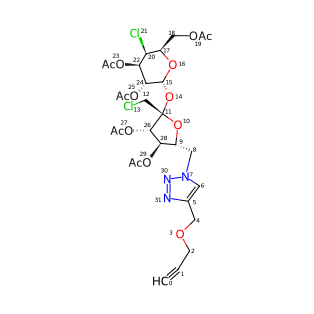 C#CCOCc1cn(C[C@H]2O[C@@](CCl)(O[C@H]3O[C@H](COC(C)=O)[C@H](Cl)[C@H](OC(C)=O)[C@H]3OC(C)=O)[C@@H](OC(C)=O)[C@@H]2OC(C)=O)nn1